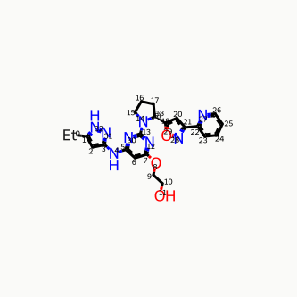 CCc1cc(Nc2cc(OCCO)nc(N3CCC[C@H]3c3cc(-c4ccccn4)no3)n2)n[nH]1